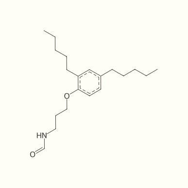 CCCCCc1ccc(OCCCNC=O)c(CCCCC)c1